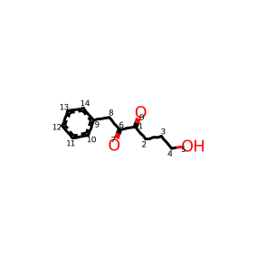 O=C(CCCO)C(=O)Cc1ccccc1